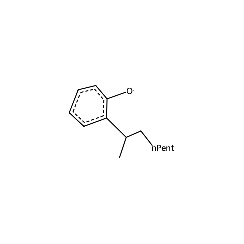 CCCCCCC(C)c1ccccc1[O]